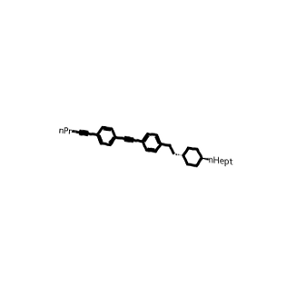 CCCC#Cc1ccc(C#Cc2ccc(CC[C@H]3CC[C@H](CCCCCCC)CC3)cc2)cc1